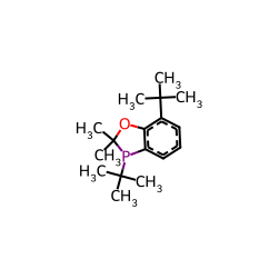 CC(C)(C)c1cccc2c1OC(C)(C)P2C(C)(C)C